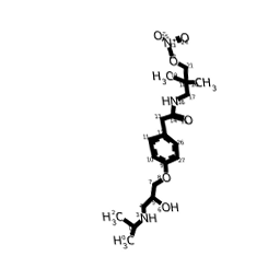 CC(C)NCC(O)COc1ccc(CC(=O)NCC(C)(C)CO[N+](=O)[O-])cc1